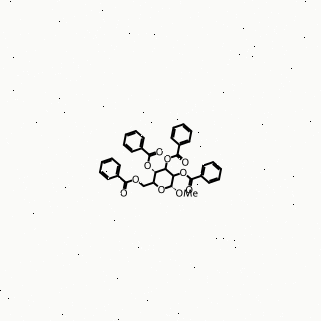 CO[C@@H]1OC(COC(=O)c2ccccc2)[C@H](OC(=O)c2ccccc2)C(OC(=O)c2ccccc2)C1OC(=O)c1ccccc1